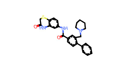 O=C1CSc2ccc(NC(=O)c3ccc(-c4ccccc4)c(CN4CCCCC4)c3)cc2N1